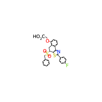 O=C(O)COc1cccc2c1CC(S(=O)(=O)Cc1ccccc1)c1sc(-c3ccc(F)cc3)nc1-2